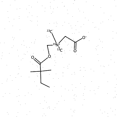 CCC(C)(C)C(=O)OC[15N+]([13CH3])([13CH3])CC(=O)[O-]